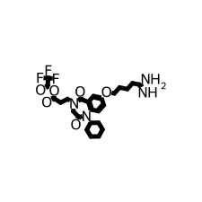 N=C(N)CCCCOc1ccc2c(c1)C(=O)N(CCC(=O)OC(=O)C(F)(F)F)CC(=O)N2C1CCCCC1